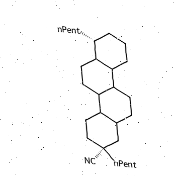 CCCCC[C@@H]1CCCC2C3CCC4C[C@@](C#N)(CCCCC)CCC4C3CCC21